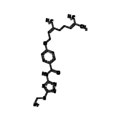 CC(C)=CCCC(C)=CCOc1ccc(C(=O)Nc2nnc(SCC(C)C)s2)cc1